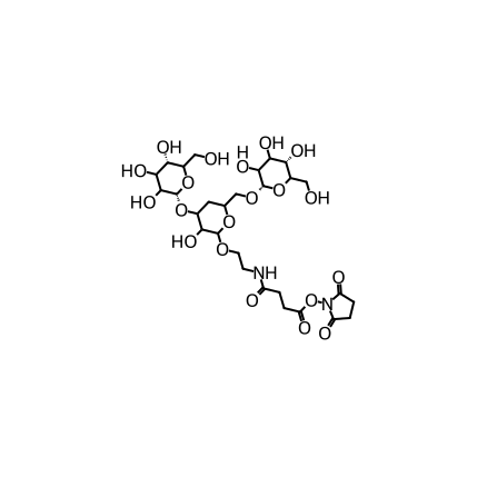 O=C(CCC(=O)ON1C(=O)CCC1=O)NCCOC1OC(CO[C@H]2OC(CO)[C@@H](O)C(O)C2O)CC(O[C@H]2OC(CO)[C@@H](O)C(O)C2O)C1O